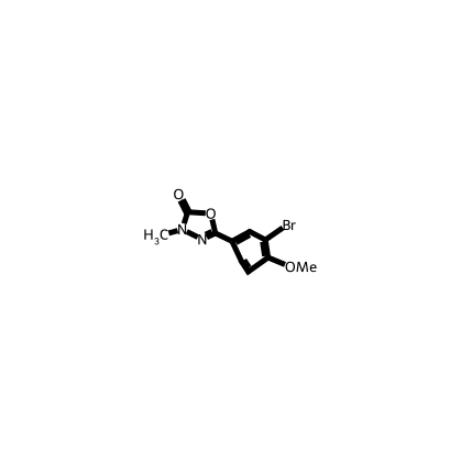 COc1ccc(-c2nn(C)c(=O)o2)cc1Br